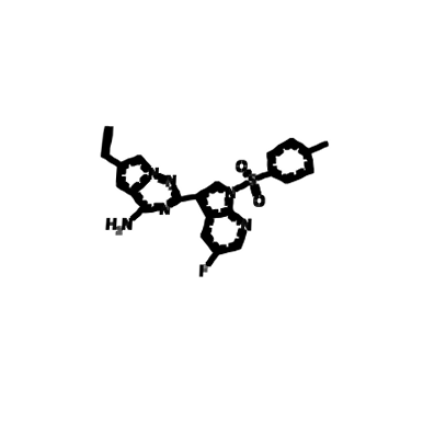 C=Cc1cc2c(N)nc(-c3cn(S(=O)(=O)c4ccc(C)cc4)c4ncc(F)cc34)nn2c1